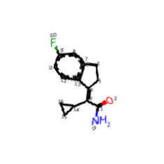 NC(=O)/C(=C1\CCc2cc(F)ccc21)C1CC1